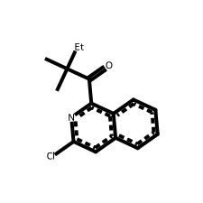 CCC(C)(C)C(=O)c1nc(Cl)cc2ccccc12